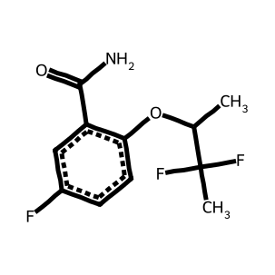 CC(Oc1ccc(F)cc1C(N)=O)C(C)(F)F